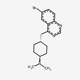 CN(C)[C@H]1CC[C@H](Cc2ncnc3ccc(Br)cc23)CC1